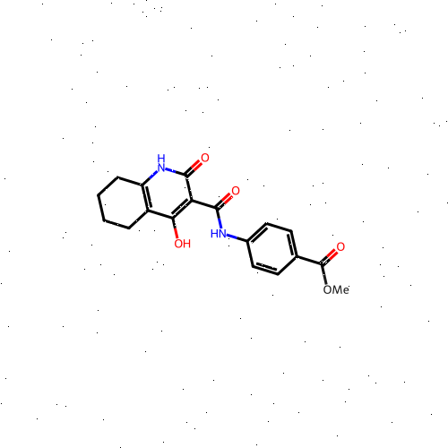 COC(=O)c1ccc(NC(=O)c2c(O)c3c([nH]c2=O)CCCC3)cc1